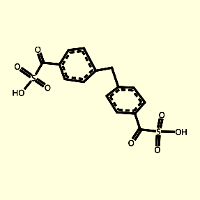 O=C(c1ccc(Cc2ccc(C(=O)S(=O)(=O)O)cc2)cc1)S(=O)(=O)O